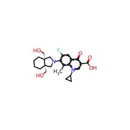 Cc1c(N2C[C@]3(CO)CCCC[C@]3(CO)C2)c(F)cc2c(=O)c(C(=O)O)cn(C3CC3)c12